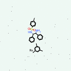 Cc1cc(C)cc(C)c1.Cc1ccc(S(=O)(=O)N[C@@H](c2ccccc2)[C@@H](N)c2ccccc2)cc1.[Ru]